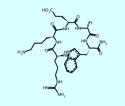 CC(C)[C@H](NC(=O)[C@H](CCC(=O)O)NC(=O)[C@H](CCCCN)NC(=O)[C@@H](N)CCCNC(=N)N)C(=O)N[C@@H](Cc1c[nH]c2ccccc12)C(N)=O